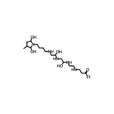 CCC(=O)CCNCCNC(O)CNC(O)CNCCCCN1C(O)CC(C)C1O